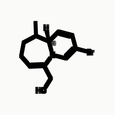 CC1CCC=C(CO)N2C=C(Br)C=C[C@@H]12